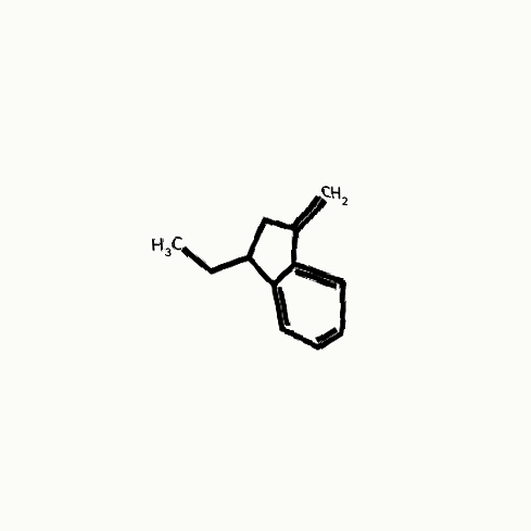 C=C1CC(CC)c2ccccc21